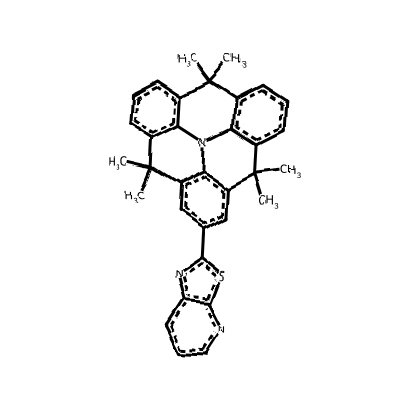 CC1(C)c2cccc3c2N2c4c1cccc4C(C)(C)c1cc(-c4nc5cccnc5s4)cc(c12)C3(C)C